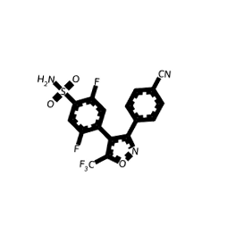 N#Cc1ccc(-c2noc(C(F)(F)F)c2-c2cc(F)c(S(N)(=O)=O)cc2F)cc1